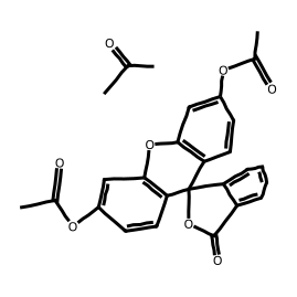 CC(=O)Oc1ccc2c(c1)Oc1cc(OC(C)=O)ccc1C21OC(=O)c2ccccc21.CC(C)=O